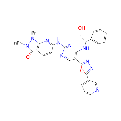 CCCn1c(=O)c2ccc(Nc3ncc(-c4nnc(-c5cccnc5)o4)c(N[C@H](CO)c4ccccc4)n3)nc2n1C(C)C